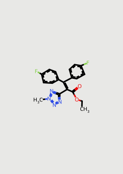 CCOC(=O)C(=C(c1ccc(F)cc1)c1ccc(F)cc1)c1nnn(C)n1